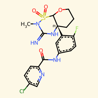 CN1C(=N)N[C@@]2(c3cc(NC(=O)c4ccc(Cl)cn4)ccc3F)CCCOC2S1(=O)=O